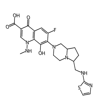 CNn1cc(C(=O)O)c(=O)c2cc(F)c(N3CCN4C(CNc5nccs5)CCC4C3)c(O)c21